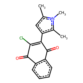 Cc1cc(C2=C(Cl)C(=O)c3ccccc3C2=O)c(C)n1C